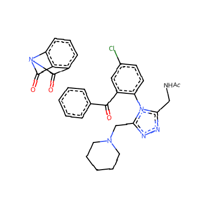 CC(=O)NCc1nnc(CN2CCCCC2)n1-c1ccc(Cl)cc1C(=O)c1ccccc1.O=C1c2cccc3c2C(=O)N13